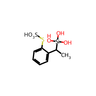 CC(c1ccccc1SS(=O)(=O)O)[Si](O)(O)O